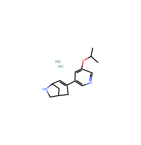 CC(C)Oc1cncc(C2=CC3CC(CN3)C2)c1.Cl.Cl